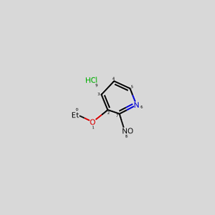 CCOc1cccnc1N=O.Cl